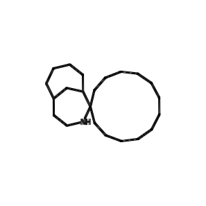 C1CCCCCCC2(CCCCC1)NCCC1CCCCC2C1